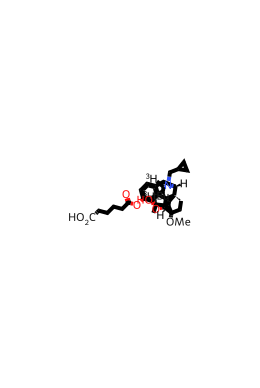 [3H]C1C([3H])[C@]23c4c5ccc(OC(=O)CCCCC(=O)O)c4OC2C2(OC)CC[C@@]3(C[C@@H]2[C@](C)(O)C(C)(C)C)[C@@H](C5)N1CC1CC1